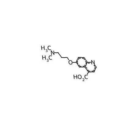 CN(C)CCCOc1ccc2nccc(C(=O)O)c2c1